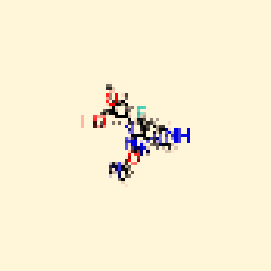 COc1ccc(-c2nc3nc(OC[C@@H]4CCCN4C)nc(N4CCNC[C@H]4C)c3cc2F)cc1CO